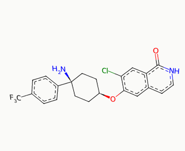 N[C@]1(c2ccc(C(F)(F)F)cc2)CC[C@H](Oc2cc3cc[nH]c(=O)c3cc2Cl)CC1